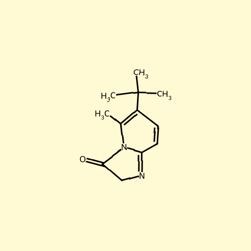 CC1=C(C(C)(C)C)C=CC2=NCC(=O)N21